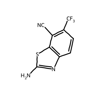 N#Cc1c(C(F)(F)F)ccc2nc(N)sc12